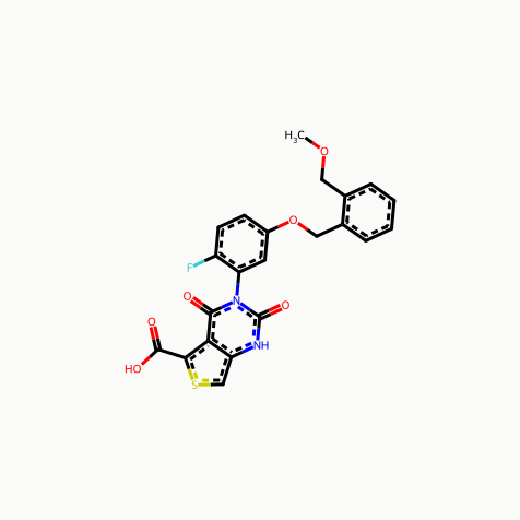 COCc1ccccc1COc1ccc(F)c(-n2c(=O)[nH]c3csc(C(=O)O)c3c2=O)c1